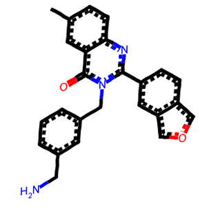 Cc1ccc2nc(-c3ccc4cocc4c3)n(Cc3cccc(CN)c3)c(=O)c2c1